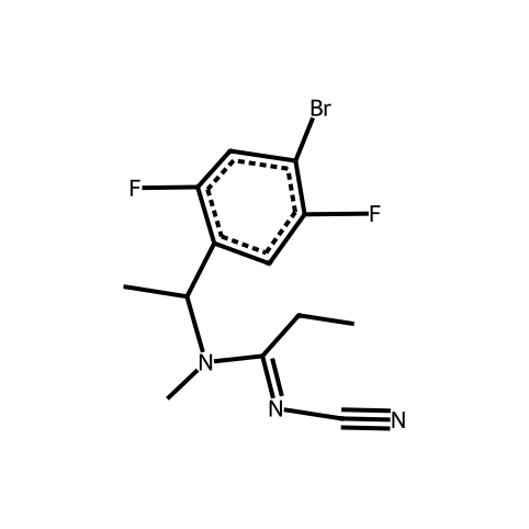 CC/C(=N\C#N)N(C)C(C)c1cc(F)c(Br)cc1F